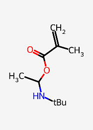 C=C(C)C(=O)OC(C)NC(C)(C)C